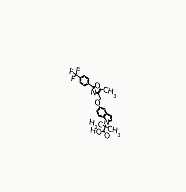 Cc1oc(-c2ccc(C(F)(F)F)cc2)nc1COc1ccc2c(ccn2C(C)(C)C(=O)O)c1